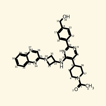 CC(=O)N1CCC(c2cnc(-c3ccc(CO)cc3)nc2NC2CN(c3cnc4ccccc4n3)C2)CC1